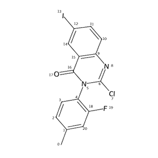 Cc1ccc(-n2c(Cl)nc3ccc(I)cc3c2=O)c(F)c1